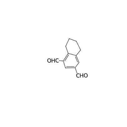 O=Cc1cc(C=O)c2c(c1)CCCC2